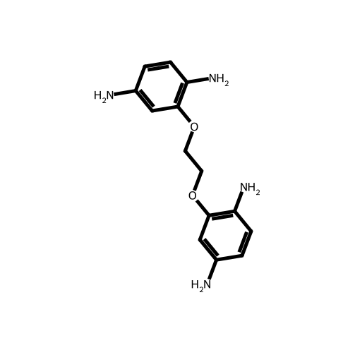 Nc1ccc(N)c(OCCOc2cc(N)ccc2N)c1